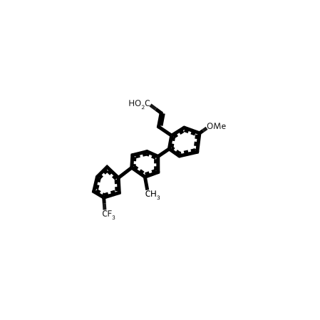 COc1ccc(-c2ccc(-c3cccc(C(F)(F)F)c3)c(C)c2)c(/C=C/C(=O)O)c1